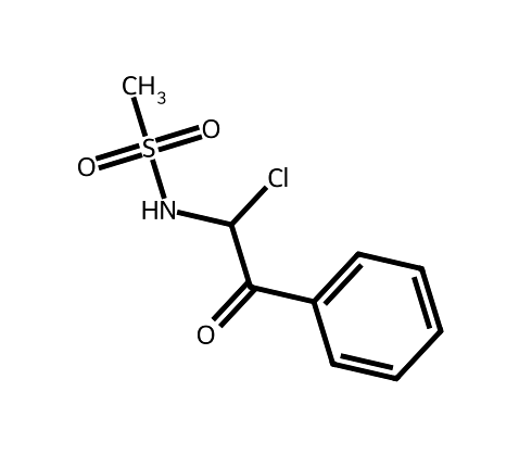 CS(=O)(=O)NC(Cl)C(=O)c1ccccc1